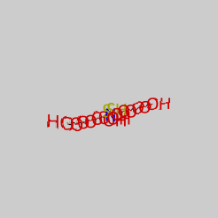 OCCOCCOCCOCCOCCOCC(O)N(C(=S)S)C(O)COCCOCCOCCOCCOCCO